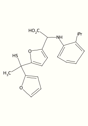 CC(C)c1ccccc1NC(C(=O)O)c1ccc(C(C)(S)c2ccco2)o1